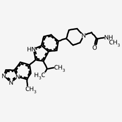 CNC(=O)CN1CCC(c2ccc3[nH]c(-c4cc(C)n5nncc5c4)c(C(C)C)c3c2)CC1